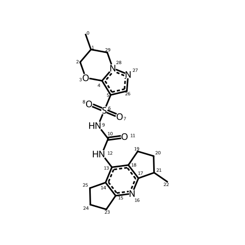 CC1COc2c(S(=O)(=O)NC(=O)Nc3c4c(nc5c3CCC5C)CCC4)cnn2C1